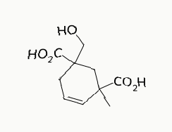 CC1(C(=O)O)C=CCC(CO)(C(=O)O)C1